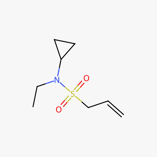 C=CCS(=O)(=O)N(CC)C1CC1